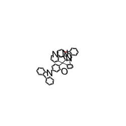 c1cc2c(c(-n3c4ccccc4c4ccccc43)c1)C1(c3ccc(-n4c5ccccc5c5ccccc54)cc3O2)c2cccnc2-c2ncccc21